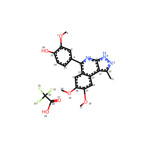 COc1cc(-c2nc3[nH]nc(C)c3c3cc(OC)c(OC)cc23)ccc1O.O=C(O)C(F)(F)F